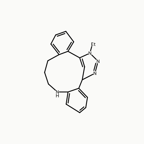 CCN1N=NC2C=C1c1ccccc1CCCNc1ccccc12